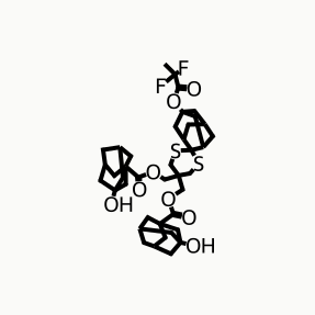 CC(F)(F)C(=O)OC12CC3CC(C1)C1(SCC(COC(=O)C45CC6CC(CC(O)(C6)C4)C5)(COC(=O)C45CC6CC(CC(O)(C6)C4)C5)CS1)C(C3)C2